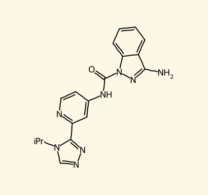 CC(C)n1cnnc1-c1cc(NC(=O)n2nc(N)c3ccccc32)ccn1